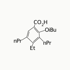 CCCc1cc(C(=O)O)c(OCC(C)C)c(CCC)c1CC